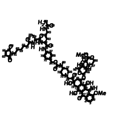 COc1cccc2c1C(=N)c1c(O)c3c(c(O)c1C2=O)C[C@@](O)(C(=O)CN1CCC(N(C)C(=O)OCc2ccc(NC(=O)[C@H](CCCNC(N)=O)NC(=O)[C@@H](NC(=O)CCCCCN4C(=O)C=CC4=O)C(C)C)cc2)CC1)C[C@@H]3O[C@H]1C[C@H]2[C@H](O[C@@H]3[C@@H](OC)OCCN32)[C@H](C)O1